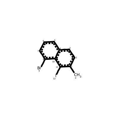 Cc1ccc2cccc(Br)c2c1I